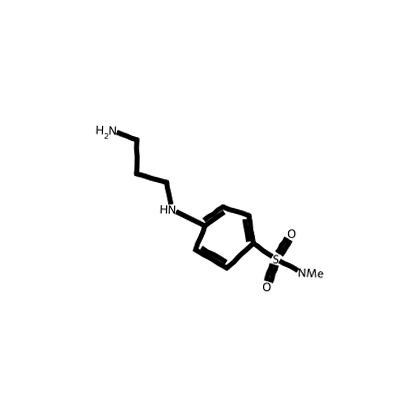 CNS(=O)(=O)c1ccc(NCCCN)cc1